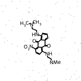 CNCCNc1ccc([N+](=O)[O-])c2c1C(=O)c1cccc(NCCN(C)C)c1C2=O